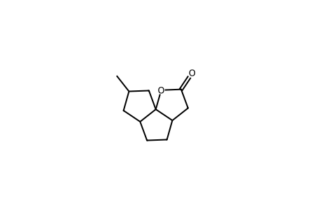 CC1CC2CCC3CC(=O)OC32C1